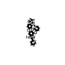 CC(C)S(=O)(=O)c1ccc(Oc2cc(Oc3cccn(C)c3=O)c3nc(-c4ccccn4)[nH]c3c2)cc1